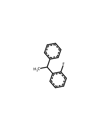 CC(c1ccccc1)c1ccccc1F